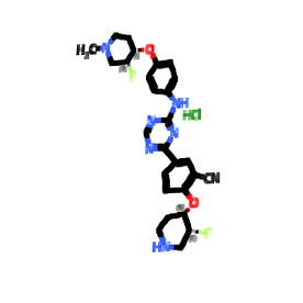 CN1CC[C@H](Oc2ccc(Nc3ncnc(-c4ccc(O[C@H]5CCNC[C@H]5F)c(C#N)c4)n3)cc2)[C@H](F)C1.Cl